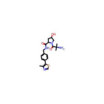 Cc1ncsc1-c1ccc(CNC(=O)C2CC(O)CN2C(=O)C(C)(C)N)cc1